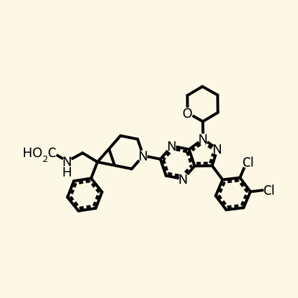 O=C(O)NCC1(c2ccccc2)C2CCN(c3cnc4c(-c5cccc(Cl)c5Cl)nn(C5CCCCO5)c4n3)CC21